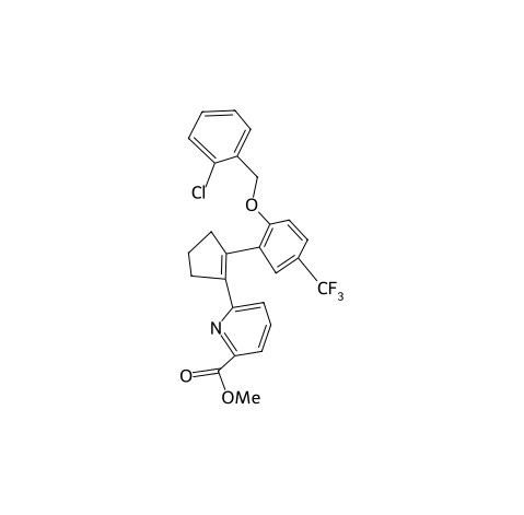 COC(=O)c1cccc(C2=C(c3cc(C(F)(F)F)ccc3OCc3ccccc3Cl)CCC2)n1